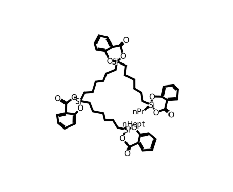 CCCCCCC[Si]1(CCCCCC[Si]2(CCCCCC[Si]3(CCCCCC[Si]4(CCC)OC(=O)c5ccccc5O4)OC(=O)c4ccccc4O3)OC(=O)c3ccccc3O2)OC(=O)c2ccccc2O1